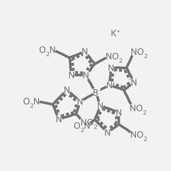 O=[N+]([O-])c1nc([N+](=O)[O-])n([B-](n2nc([N+](=O)[O-])nc2[N+](=O)[O-])(n2nc([N+](=O)[O-])nc2[N+](=O)[O-])n2nc([N+](=O)[O-])nc2[N+](=O)[O-])n1.[K+]